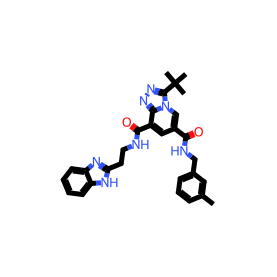 Cc1cccc(CNC(=O)c2cc(C(=O)NCCc3nc4ccccc4[nH]3)c3nnc(C(C)(C)C)n3c2)c1